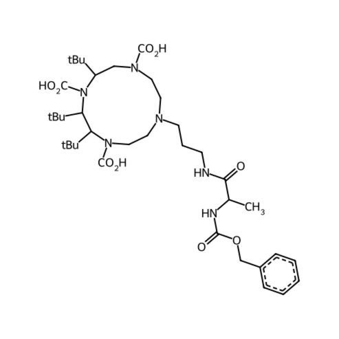 CC(NC(=O)OCc1ccccc1)C(=O)NCCCN1CCN(C(=O)O)CC(C(C)(C)C)N(C(=O)O)C(C(C)(C)C)C(C(C)(C)C)N(C(=O)O)CC1